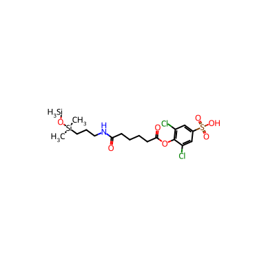 C[Si](C)(CCCNC(=O)CCCCC(=O)Oc1c(Cl)cc(S(=O)(=O)O)cc1Cl)O[SiH3]